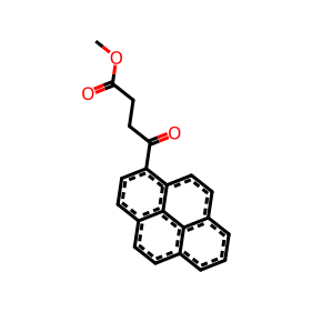 COC(=O)CCC(=O)c1ccc2ccc3cccc4ccc1c2c34